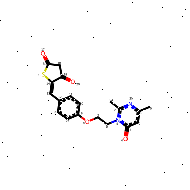 Cc1cc(=O)n(CCOc2ccc(C=C3SC(=O)CC3=O)cc2)c(C)n1